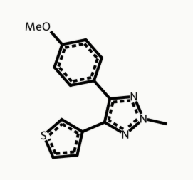 COc1ccc(-c2nn(C)nc2-c2ccsc2)cc1